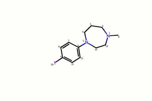 CN1CCCN(c2ccc(I)cc2)CC1